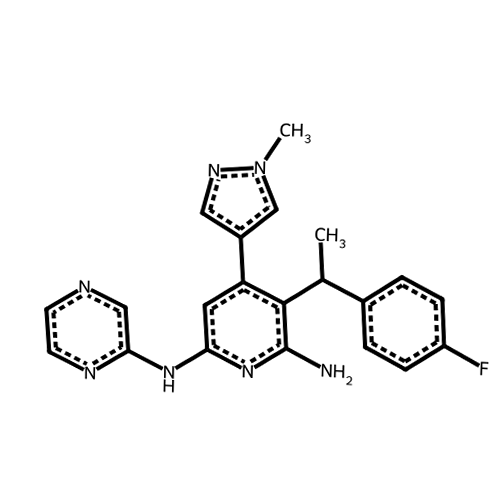 CC(c1ccc(F)cc1)c1c(-c2cnn(C)c2)cc(Nc2cnccn2)nc1N